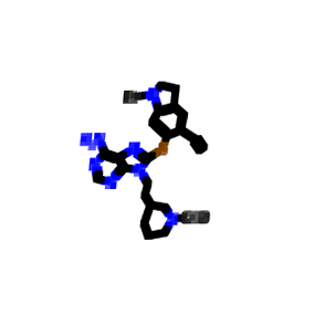 C#Cc1cc2c(cc1Sc1nc3c(N)ncnc3n1CCC1CCCN(C=O)C1)N(CC)CC2